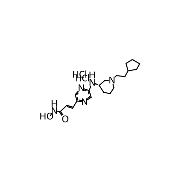 Cl.Cl.O=C(C=Cc1cnc(N[C@@H]2CCCN(CCC3CCCC3)C2)cn1)NO